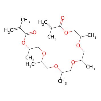 C=C(C)C(=O)OCC(C)OCC(C)OCC(C)OCC(C)OCC(C)OC(=O)C(=C)C